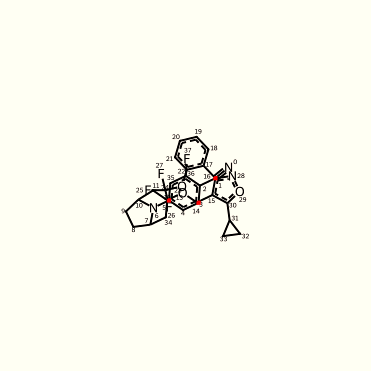 N#Cc1ccc(N2C3CCC2CC(OCc2c(-c4ccccc4OC(F)(F)F)noc2C2CC2)C3)cc1F